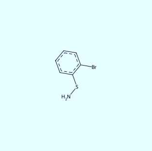 NSc1ccccc1Br